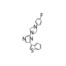 Fc1ccc(N2CCN(c3cncc(-c4csc5ccccc45)n3)CC2)cc1